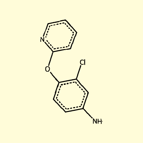 [NH]c1ccc(Oc2ccccn2)c(Cl)c1